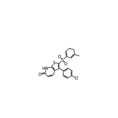 CC1=CC(S(=O)(=O)c2sc3[nH]c(=O)ccc3c2-c2ccc(Cl)cc2)=CCC1